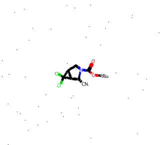 CC(C)(C)OC(=O)N1CC2C(C1C#N)C2(Cl)Cl